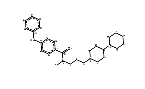 CN(CCCN1CCC(N2CCCCC2)CC1)C(=O)c1ccc(Oc2ccccc2)cc1